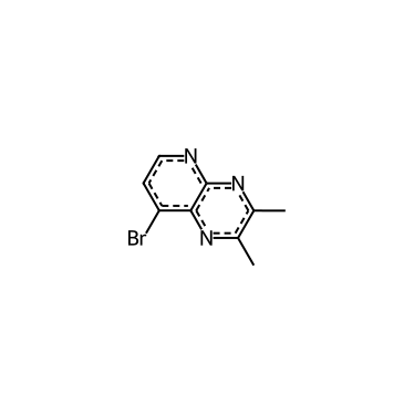 Cc1nc2nccc(Br)c2nc1C